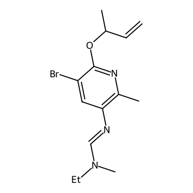 C=CC(C)Oc1nc(C)c(/N=C/N(C)CC)cc1Br